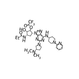 CCC(=O)N[C@H]1C[C@@H](n2cnc3c(NC4CCN(c5ccccn5)CC4)nc(N4CCC(N(C)C)C4)nc32)[C@H](OC(=O)C(F)(F)F)C1O